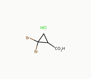 Cl.O=C(O)C1CC1(Br)Br